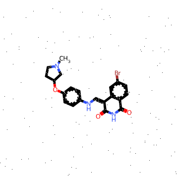 CN1CCC(Oc2ccc(NC=C3C(=O)NC(=O)c4ccc(Br)cc43)cc2)C1